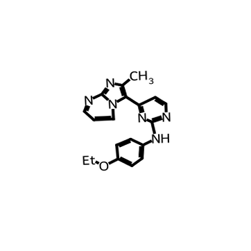 CCOc1ccc(Nc2nccc(-c3c(C)nc4ncccn34)n2)cc1